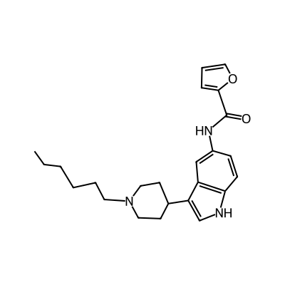 CCCCCCN1CCC(c2c[nH]c3ccc(NC(=O)c4ccco4)cc23)CC1